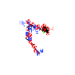 CCCC1O[C@@H]2C[C@H]3[C@@H]4C[C@H](F)C5=CC(=O)C=C[C@]5(C)[C@@]4(F)[C@@H](O)C[C@]3(C)[C@]2(C(=O)COc2ccc(NC(=O)OCc3ccc(NC(=O)[C@H](CCCNC(N)=O)NC(=O)[C@@H](NC(=O)[C@H](N)CCCCNC(=O)COC4CCCCCc5c4nnn5CCOCCOCCOCCOCCC(=O)NCC[N+](C)(C)C)C(C)C)cc3)cc2)O1